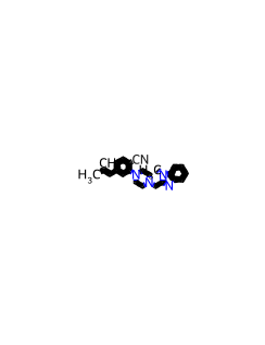 CC(C)=Cc1ccc(C#N)c(N2CCN(Cc3nc4ccccc4n3C)CC2)c1